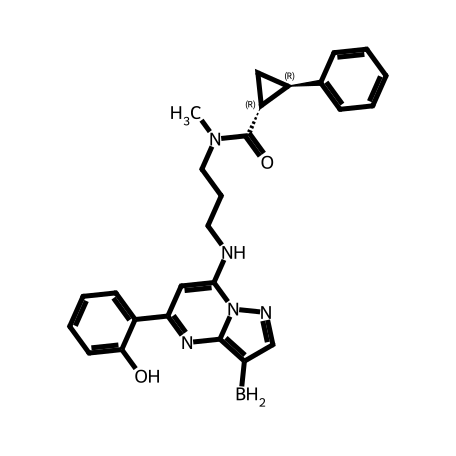 Bc1cnn2c(NCCCN(C)C(=O)[C@@H]3C[C@H]3c3ccccc3)cc(-c3ccccc3O)nc12